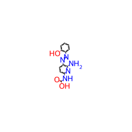 Nc1nc(NC(=O)O)ccc1N=Nc1ccccc1O